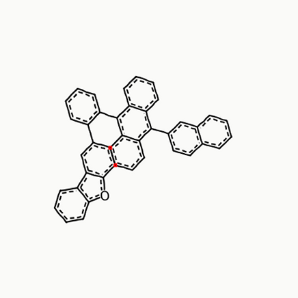 c1ccc(-c2c3ccccc3c(-c3ccc4ccccc4c3)c3ccccc23)c(-c2ccc3oc4ccccc4c3c2)c1